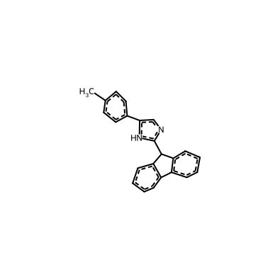 Cc1ccc(-c2cnc(C3c4ccccc4-c4ccccc43)[nH]2)cc1